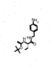 C=C(N[C@@H](CC)C(=O)NCc1ccc(N)cc1)OC(C)(C)C